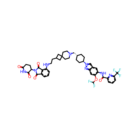 O=C1CCC(N2C(=O)c3cccc(NCCC4CC5(CCN(C[C@H]6CC[C@H](n7cc8cc(NC(=O)c9cccc(C(F)(F)F)n9)c(OC(F)F)cc8n7)CC6)CC5)C4)c3C2=O)C(=O)N1